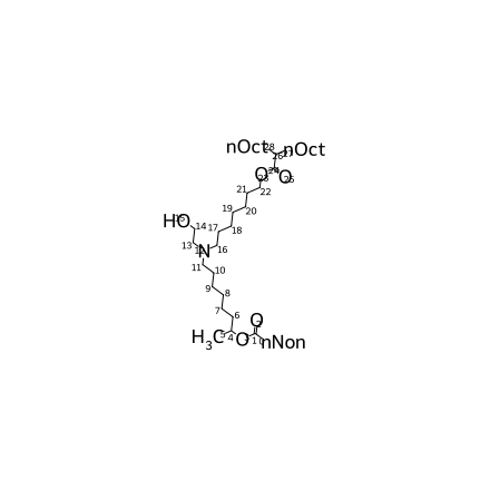 CCCCCCCCCC(=O)OC(C)CCCCCCN(CCO)CCCCCCCOC(=O)C(CCCCCCCC)CCCCCCCC